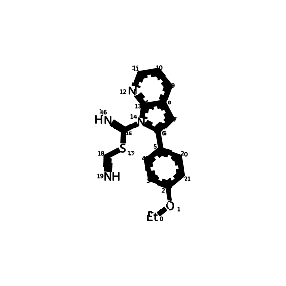 CCOc1ccc(-c2cc3cccnc3n2C(=N)SC=N)cc1